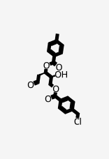 Cc1ccc(C(=O)O[C@H](CC=O)[C@@H](O)COC(=O)c2ccc(CCl)cc2)cc1